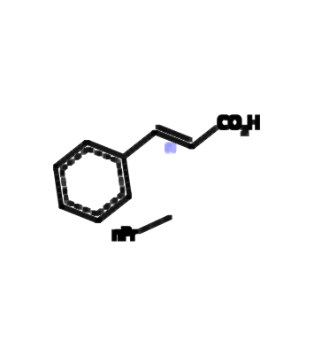 CCCC.O=C(O)/C=C/c1ccccc1